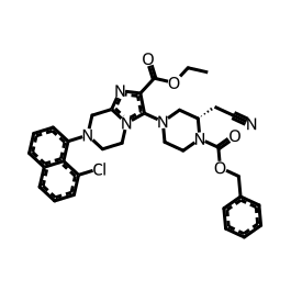 CCOC(=O)c1nc2n(c1N1CCN(C(=O)OCc3ccccc3)[C@@H](CC#N)C1)CCN(c1cccc3cccc(Cl)c13)C2